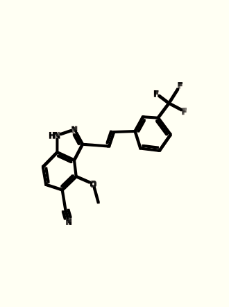 COc1c(C#N)ccc2[nH]nc(/C=C/c3cccc(C(F)(F)F)c3)c12